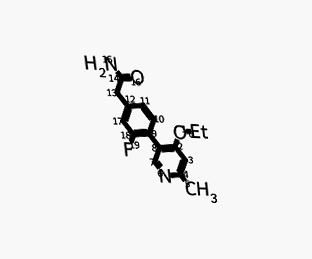 CCOc1cc(C)ncc1-c1ccc(CC(N)=O)cc1F